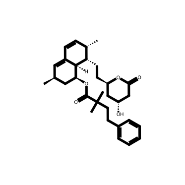 C[C@H]1C=C2C=C[C@H](C)[C@H](CC[C@@H]3C[C@@H](O)CC(=O)O3)[C@H]2[C@@H](OC(=O)C(C)(C)CCc2ccccc2)C1